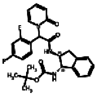 CC(C)(C)OC(=O)N[C@H]1c2ccccc2C[C@@H]1NC(=O)C(c1ccc(F)cc1F)n1ccccc1=O